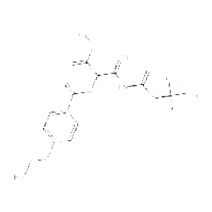 C=C(NC(=O)OC(C)(C)C)C(NC(=O)c1ccc(OCC)cc1)C(=O)OC